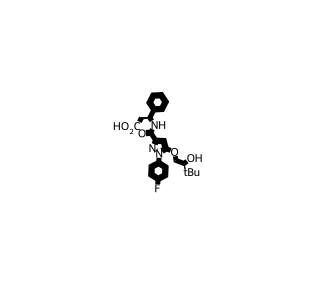 CC(C)(C)[C@@H](O)COc1cc(C(=O)N[C@@H](CC(=O)O)c2ccccc2)nn1-c1ccc(F)cc1